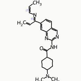 C=C/C(=N\C=C/C)c1ccc2cnc(NC(=O)C3CCC(N(C)C)CC3)nc2c1